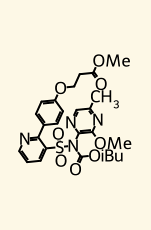 COC(=O)CCOc1ccc(-c2ncccc2S(=O)(=O)N(C(=O)OCC(C)C)c2ncc(C)nc2OC)cc1